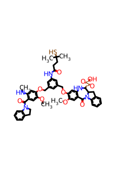 CNc1cc(OCc2cc(COc3cc4c(cc3OC)C(=O)N3c5ccccc5CC3C(S(=O)(=O)O)N4)cc(NC(=O)CCC(C)(C)S)c2)c(OC)cc1C(=O)N1CCc2ccccc21